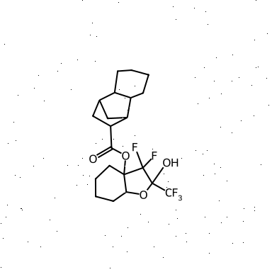 O=C(OC12CCCCC1OC(O)(C(F)(F)F)C2(F)F)C1CC2CC1C1CCCCC21